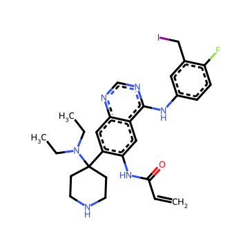 C=CC(=O)Nc1cc2c(Nc3ccc(F)c(CI)c3)ncnc2cc1C1(N(CC)CC)CCNCC1